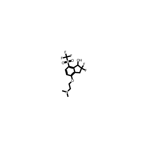 CN(C)CCOc1ccc(S(=O)(=O)C(F)(F)F)c2c1CC(F)(F)C2O